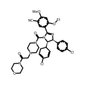 CCOc1cc(OC)c(C#N)cc1C1=N[C@@H](c2ccc(Cl)cc2)[C@@H](C2C=CC(Cl)=CC2)N1C(=O)N1CCN(CC(=O)N2CCOCC2)CC1